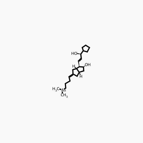 C[As](C)CCC/C=C1\C[C@H]2C[C@@H](O)[C@H](/C=C/[C@@H](O)C3CCCC3)[C@H]2C1